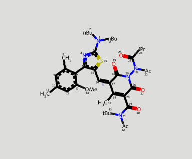 CCCCN(CCCC)c1nc(-c2c(C)cc(C)cc2OC)c(/C=C2\C(=O)N(N(C(C)=O)C(=O)C(C)C)C(=O)C(C(=O)N(C(C)=O)C(C)(C)C)=C2C)s1